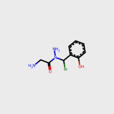 NCC(=O)N(N)C(Br)c1ccccc1O